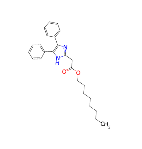 CCCCCCCCOC(=O)Cc1nc(-c2ccccc2)c(-c2ccccc2)[nH]1